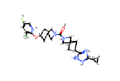 O=C(N1CC2(CC(Oc3ncc(F)cc3Cl)C2)C1)N1CC2(CC(c3nc(C4CC4)n[nH]3)C2)C1